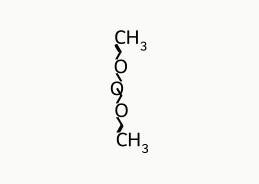 CC=CCOCCOCCOCC=CC